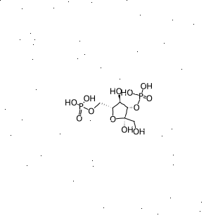 O=P(O)(O)OC[C@H]1O[C@](O)(CO)[C@@H](OP(=O)(O)O)[C@@H]1O